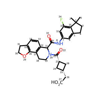 CC1(C)CCc2cc(NC(=O)C3c4ccc5c(c4CCN3C(=O)[C@H]3C[C@@H](CC(=O)O)C3)OCC5)cc(F)c21